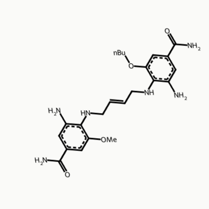 CCCCOc1cc(C(N)=O)cc(N)c1NC/C=C/CNc1c(N)cc(C(N)=O)cc1OC